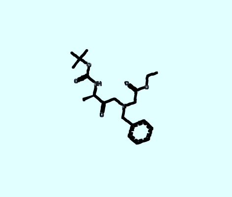 CCOC(=O)CN(CC(=O)[C@@H](C)NC(=O)OC(C)(C)C)Cc1ccccc1